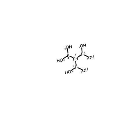 O[P](O)[Pd]([P](O)O)[P](O)O